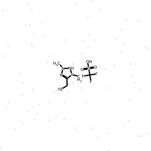 CN1N=C(CS)N(C)N1.O=S(=O)(O)C(F)(F)F